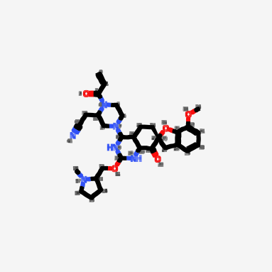 C=CC(=O)N1CCN(C2NC(OCC3CCCN3C)NC3C(=O)[C@@]4(CCC32)Cc2cccc(OC)c2O4)CC1CC#N